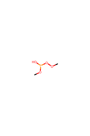 COOP(O)OC